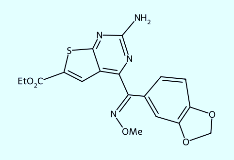 CCOC(=O)c1cc2c(C(=NOC)c3ccc4c(c3)OCO4)nc(N)nc2s1